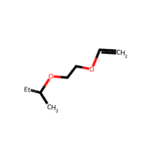 C=COCCO[C](C)CC